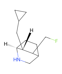 FCC1C2CC[C@H](NC2)[C@@H]1CC1CC1